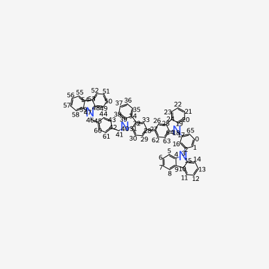 c1cc(-n2c3ccccc3c3ccccc32)cc(-n2c3ccccc3c3cc(-c4ccc5c(c4)c4ccccc4n5Cc4ccc(Cn5c6ccccc6c6ccccc65)cc4)ccc32)c1